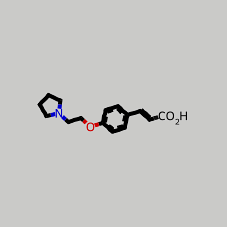 O=C(O)/C=C/c1ccc(OCCN2CCCC2)cc1